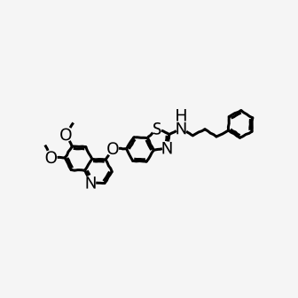 COc1cc2nccc(Oc3ccc4nc(NCCCc5ccccc5)sc4c3)c2cc1OC